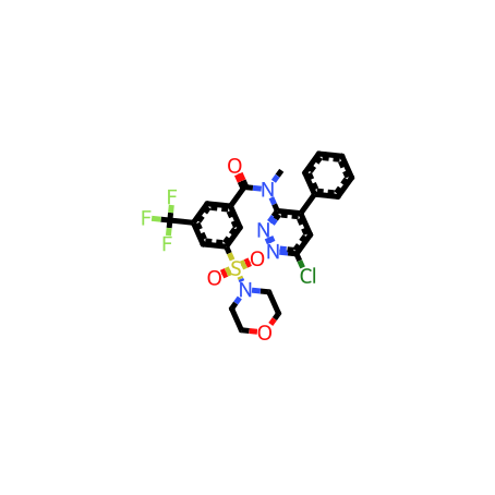 CN(C(=O)c1cc(C(F)(F)F)cc(S(=O)(=O)N2CCOCC2)c1)c1nnc(Cl)cc1-c1ccccc1